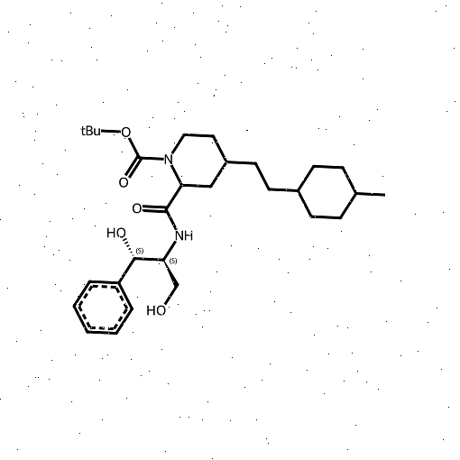 CC1CCC(CCC2CCN(C(=O)OC(C)(C)C)C(C(=O)N[C@@H](CO)[C@@H](O)c3ccccc3)C2)CC1